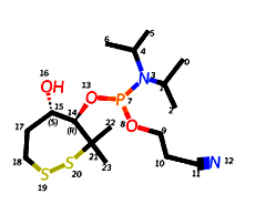 CC(C)N(C(C)C)P(OCCC#N)O[C@@H]1[C@@H](O)CCSSC1(C)C